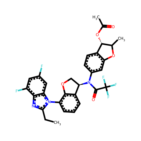 CCc1nc2c(F)cc(F)cc2n1-c1cccc2c1OC[C@H]2N(C(=O)C(F)(F)F)c1ccc2c(c1)OC(C)[C@H]2OC(C)=O